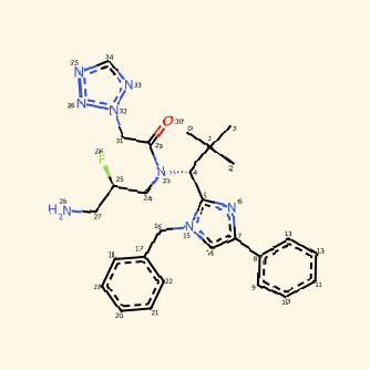 CC(C)(C)[C@H](c1nc(-c2ccccc2)cn1Cc1ccccc1)N(C[C@H](F)CN)C(=O)Cn1ncnn1